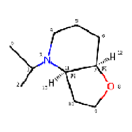 CC(C)N1CCC[C@H]2OCC[C@H]21